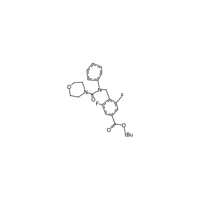 CC(C)(C)OC(=O)c1cc(F)c(CN(C(=O)N2CCOCC2)c2ccccc2)c(F)c1